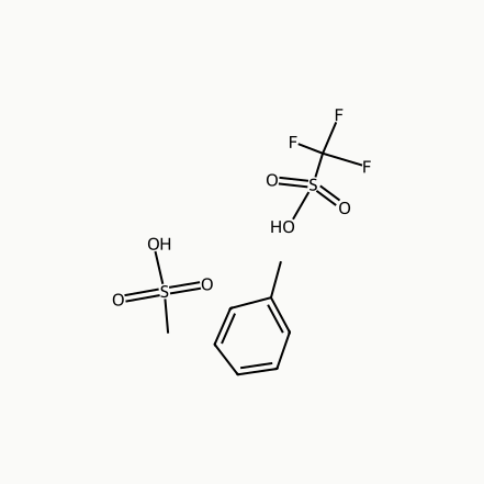 CS(=O)(=O)O.Cc1ccccc1.O=S(=O)(O)C(F)(F)F